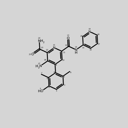 Cc1ccc(O)c(C)c1-c1cc(C(=O)Nc2cccnc2)nc(C(N)=O)c1N